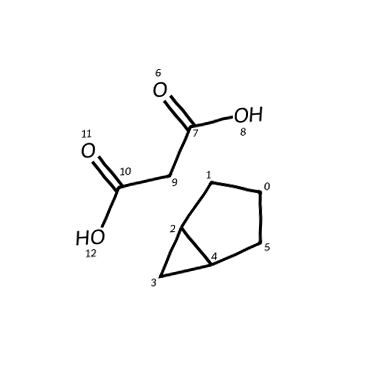 C1CC2CC2C1.O=C(O)CC(=O)O